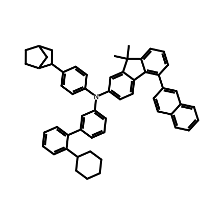 CC1(C)c2cc(N(c3ccc(C4CC5CCC4C5)cc3)c3cccc(-c4ccccc4C4CCCCC4)c3)ccc2-c2c(-c3ccc4ccccc4c3)cccc21